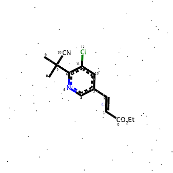 CCOC(=O)/C=C/c1cnc(C(C)(C)C#N)c(Cl)c1